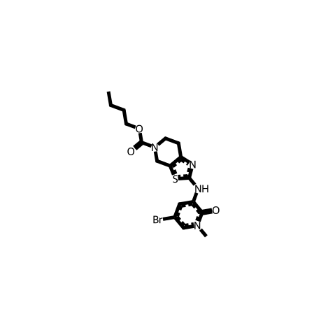 CCCCOC(=O)N1CCc2nc(Nc3cc(Br)cn(C)c3=O)sc2C1